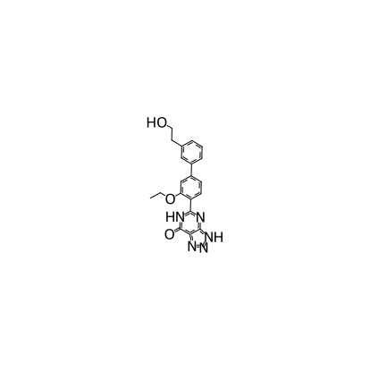 CCOc1cc(-c2cccc(CCO)c2)ccc1-c1nc2[nH]nnc2c(=O)[nH]1